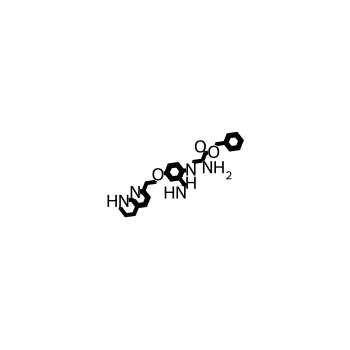 N=Cc1cc(OCCc2ccc3c(n2)NCCC3)ccc1NCC(N)C(=O)OCc1ccccc1